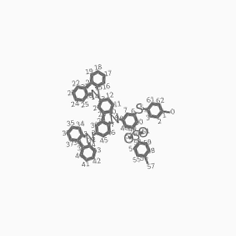 Cc1ccc(Sc2cc(-n3c4ccc(-n5c6ccccc6c6ccccc65)cc4c4cc(-n5c6ccccc6c6ccccc65)ccc43)cc(S(=O)(=O)c3ccc(C)cc3)c2)cc1